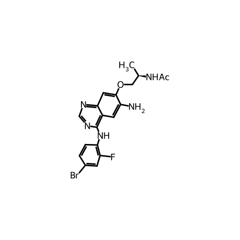 CC(=O)N[C@H](C)COc1cc2ncnc(Nc3ccc(Br)cc3F)c2cc1N